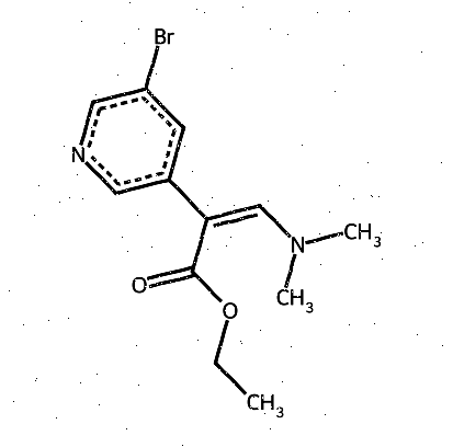 CCOC(=O)/C(=C\N(C)C)c1cncc(Br)c1